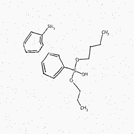 CCCCO[Si](O)(OCCC)c1ccccc1.[SiH3]c1ccccc1